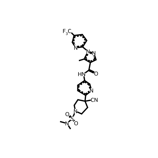 Cc1c(C(=O)Nc2ccc(C3(C#N)CCN(S(=O)(=O)N(C)C)CC3)nc2)cnn1-c1ccc(C(F)(F)F)cn1